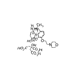 CN1CC[C@]23c4c5ccc(OCCN6CCOCC6)c4O[C@H]2[C@@H](O)C=C[C@H]3[C@H]1C5.O=C(O)CC(O)(CC(=O)O)C(=O)O